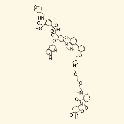 O=C1CCC(N2C(=O)c3cccc(NCCOCCOCCN4CC(COc5cccc(-c6ccc(Cl)cc6)c5CN5CCN(c6ccc(C(=O)NS(=O)(=O)c7ccc(NCC8CCOCC8)c([N+](=O)O)c7)c(Oc7cnc8[nH]ccc8c7)c6)CC5)C4)c3C2=O)C(=O)N1